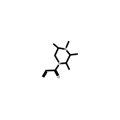 C=CC(=O)N1CC(C)N(C)C(C)C1C